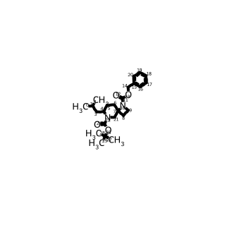 CC(C)CC1CCC2(CCN2C(=O)OCc2ccccc2)CN1C(=O)OC(C)(C)C